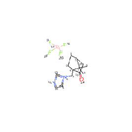 CC1(C)C2CCC1(Cn1ccnc1)C(=O)C2.F[B-](F)(F)F